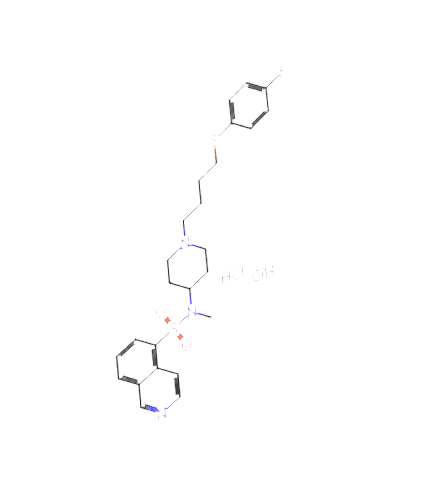 CN(C1CCN(CCCCSc2ccc(F)cc2)CC1)S(=O)(=O)c1cccc2cnccc12.Cl.Cl